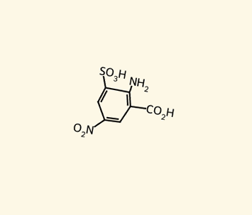 Nc1c(C(=O)O)cc([N+](=O)[O-])cc1S(=O)(=O)O